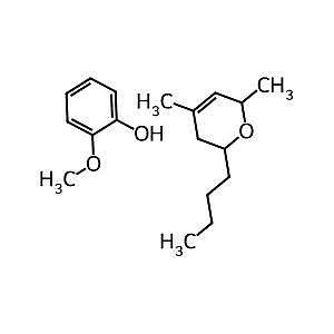 CCCCC1CC(C)=CC(C)O1.COc1ccccc1O